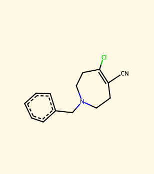 N#CC1=C(Cl)CCN(Cc2ccccc2)CC1